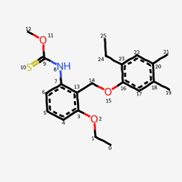 CCOc1cccc(NC(=S)OC)c1COc1cc(C)c(C)cc1CC